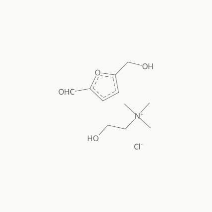 C[N+](C)(C)CCO.O=Cc1ccc(CO)o1.[Cl-]